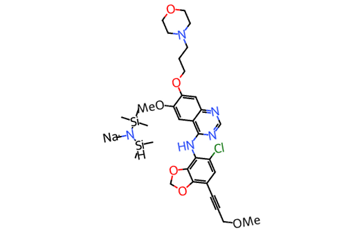 CN([SiH](C)C)[Si](C)(C)C.COCC#Cc1cc(Cl)c(Nc2ncnc3cc(OCCCN4CCOCC4)c(OC)cc23)c2c1OCO2.[Na]